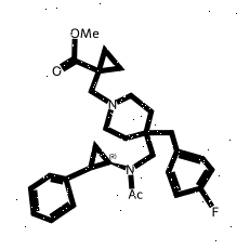 COC(=O)C1(CN2CCC(Cc3ccc(F)cc3)(CN(C(C)=O)[C@@H]3CC3c3ccccc3)CC2)CC1